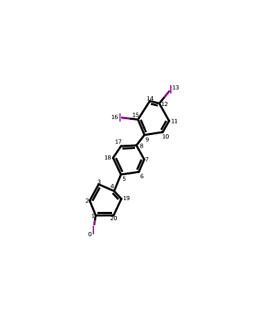 Ic1ccc(-c2ccc(-c3ccc(I)cc3I)cc2)cc1